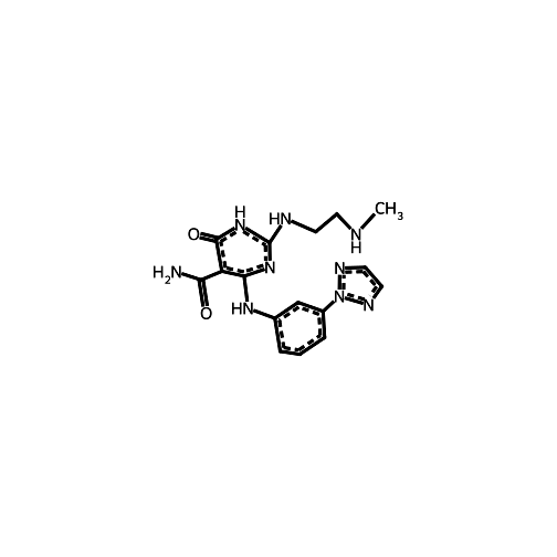 CNCCNc1nc(Nc2cccc(-n3nccn3)c2)c(C(N)=O)c(=O)[nH]1